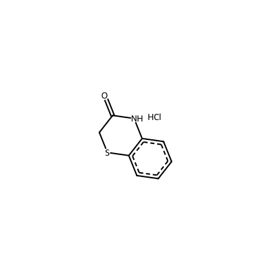 Cl.O=C1CSc2ccccc2N1